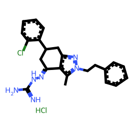 Cc1c2c(nn1CCc1ccccc1)CC(c1ccccc1Cl)CC2=NNC(=N)N.Cl